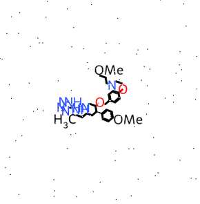 COCCCN1CCOc2ccc(CO[C@H]3CNC(CC(C)Nc4nnn[nH]4)C[C@@H]3c3ccc(OC)cc3)cc21